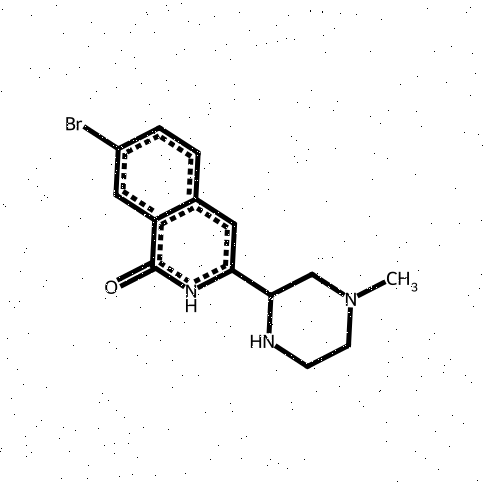 CN1CCNC(c2cc3ccc(Br)cc3c(=O)[nH]2)C1